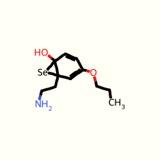 CCCOC1=CC2(CCN)[Se]C2(O)C=C1